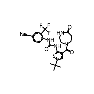 CC(C)(C)c1cc(C(=O)N2CCNC(=O)CC2)c(NC(=O)Nc2ccc(C#N)cc2C(F)(F)F)s1